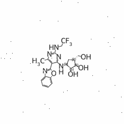 Cc1nc(NCC(F)(F)F)nc(N[C@@H]2C[C@H](CO)[C@@H](O)[C@H]2O)c1-c1nc2ccccc2o1